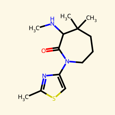 CNC1C(=O)N(c2csc(C)n2)CCCC1(C)C